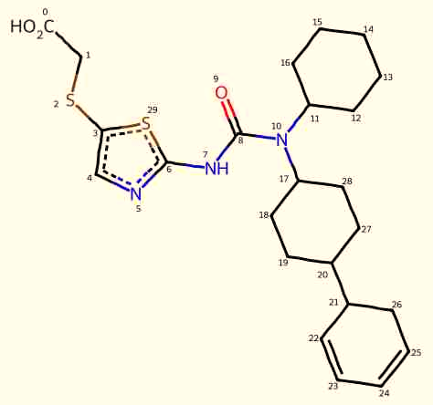 O=C(O)CSc1cnc(NC(=O)N(C2CCCCC2)C2CCC(C3C=CC=CC3)CC2)s1